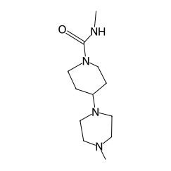 CNC(=O)N1CCC(N2CCN(C)CC2)CC1